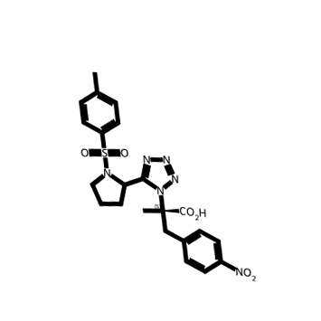 Cc1ccc(S(=O)(=O)N2CCCC2c2nnnn2[C@@](C)(Cc2ccc([N+](=O)[O-])cc2)C(=O)O)cc1